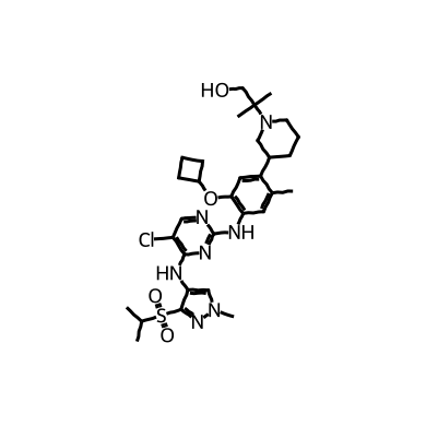 Cc1cc(Nc2ncc(Cl)c(Nc3cn(C)nc3S(=O)(=O)C(C)C)n2)c(OC2CCC2)cc1C1CCCN(C(C)(C)CO)C1